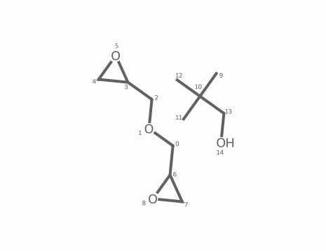 C(OCC1CO1)C1CO1.CC(C)(C)CO